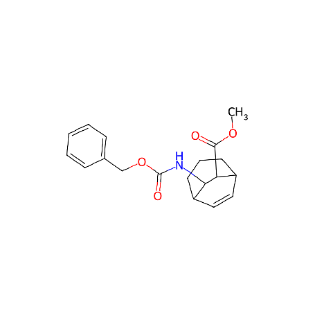 COC(=O)C1C2C=CC(CCC2)C1NC(=O)OCc1ccccc1